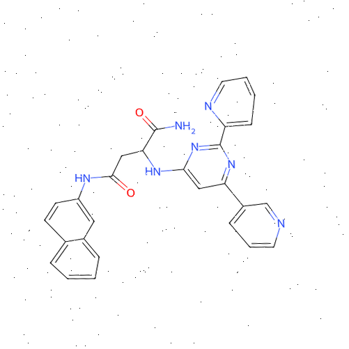 NC(=O)C(CC(=O)Nc1ccc2ccccc2c1)Nc1cc(-c2cccnc2)nc(-c2ccccn2)n1